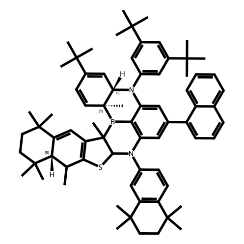 CC1C2=C(C=C3[C@H]1C(C)(C)CCC3(C)C)C1(C)B3c4c(cc(-c5cccc6ccccc56)cc4N(c4cc(C(C)(C)C)cc(C(C)(C)C)c4)[C@H]4C=C(C(C)(C)C)C=C[C@]34C)N(c3ccc4c(c3)C(C)(C)CCC4(C)C)C1S2